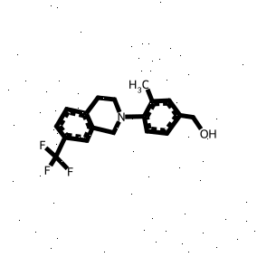 Cc1cc(CO)ccc1N1CCc2ccc(C(F)(F)F)cc2C1